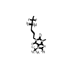 [2H]c1nc2c(c(=O)n(CCCC([2H])([2H])C(C)(F)F)c(=O)n2C)n1C([2H])([2H])[2H]